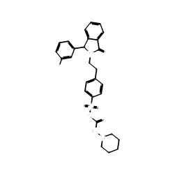 O=C(NN1CCCCC1)NS(=O)(=O)c1ccc(CCN2C(=O)c3ccccc3C2c2cccc(F)c2)cc1